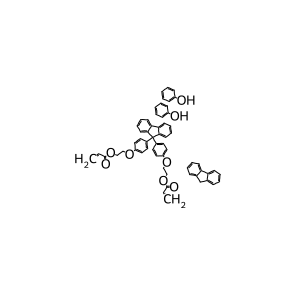 C=CC(=O)OCCOc1ccc(C2(c3ccc(OCCOC(=O)C=C)cc3)c3ccccc3-c3ccccc32)cc1.Oc1ccccc1.Oc1ccccc1.c1ccc2c(c1)Cc1ccccc1-2